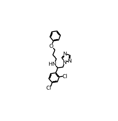 Clc1ccc(C(Cn2cncn2)NCCCOc2ccccc2)c(Cl)c1